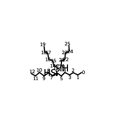 CCCCCC[SiH](CCCCCC)[SiH](CCCCCC)CCCCCC